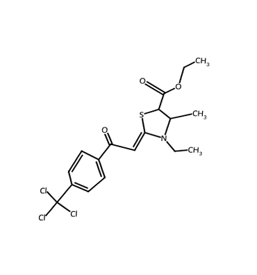 CCOC(=O)C1SC(=CC(=O)c2ccc(C(Cl)(Cl)Cl)cc2)N(CC)C1C